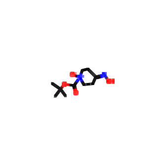 CC(C)(C)OC(=O)[N+]1([O-])CCC(=NO)CC1